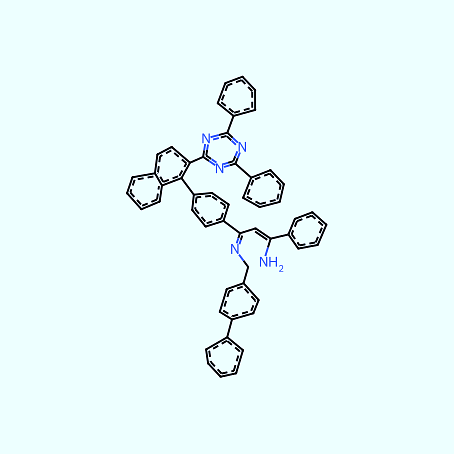 N/C(=C\C(=N/Cc1ccc(-c2ccccc2)cc1)c1ccc(-c2c(-c3nc(-c4ccccc4)nc(-c4ccccc4)n3)ccc3ccccc23)cc1)c1ccccc1